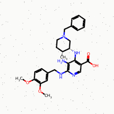 COc1ccc(CNc2ncc(C(=O)O)c(N[C@H]3CN(Cc4ccccc4)CC[C@H]3C)c2N)cc1OC